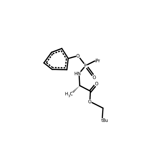 CC(C)P(=O)(N[C@@H](C)C(=O)OCC(C)(C)C)Oc1ccccc1